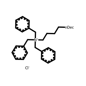 CCCCCCCCCCCCCC[N+](Cc1ccccc1)(Cc1ccccc1)Cc1ccccc1.[Cl-]